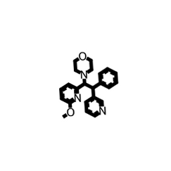 COc1cccc(C(C(c2ccccc2)c2cccnc2)N2CCOCC2)n1